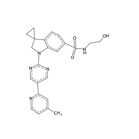 Cc1ccnc(-c2cnc(N3CC4(CC4)c4ccc(S(=O)(=O)NCCO)cc43)nc2)c1